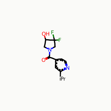 CC(C)c1cc(C(=O)N2CC(O)C(F)(F)C2)ccn1